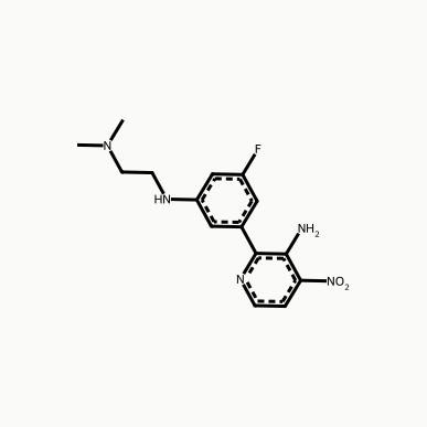 CN(C)CCNc1cc(F)cc(-c2nccc([N+](=O)[O-])c2N)c1